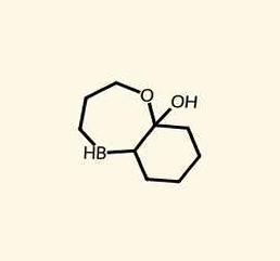 OC12CCCCC1BCCCO2